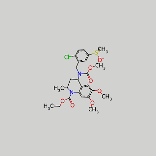 CCOC(=O)N1c2cc(OC)c(OC)cc2C(N(Cc2cc([S+](C)[O-])ccc2Cl)C(=O)OC)CC1C